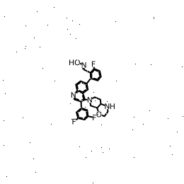 ON=Cc1c(F)cccc1-c1ccc2ncc(-c3cc(F)cc(F)c3)c(N3CCC4NCCOC4C3)c2c1